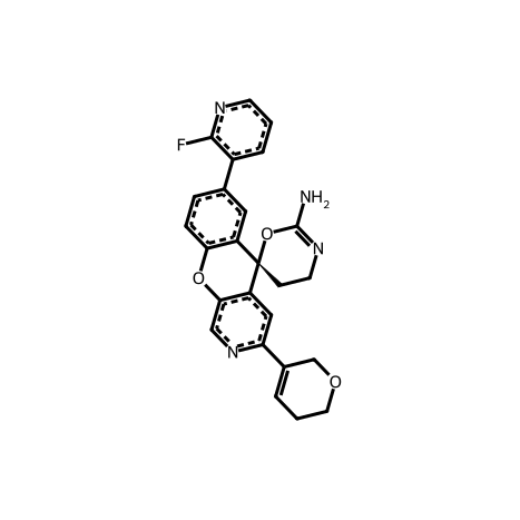 NC1=NCC[C@]2(O1)c1cc(-c3cccnc3F)ccc1Oc1cnc(C3=CCCOC3)cc12